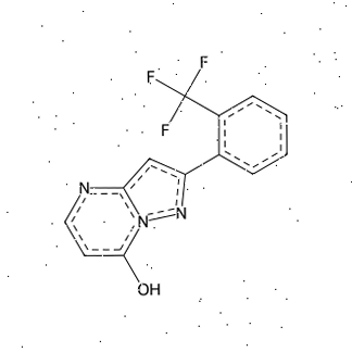 Oc1ccnc2cc(-c3ccccc3C(F)(F)F)nn12